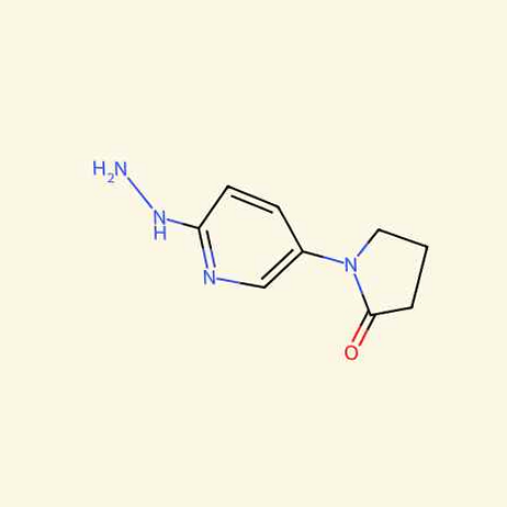 NNc1ccc(N2CCCC2=O)cn1